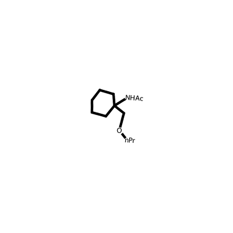 CCCOCC1(NC(C)=O)CCCCC1